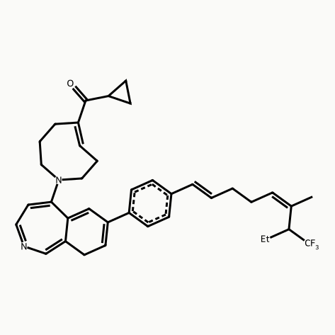 CCC(/C(C)=C\CC/C=C/c1ccc(C2=CCC3=CN=CC=C(N4CC/C=C(\C(=O)C5CC5)CCC4)C3=C2)cc1)C(F)(F)F